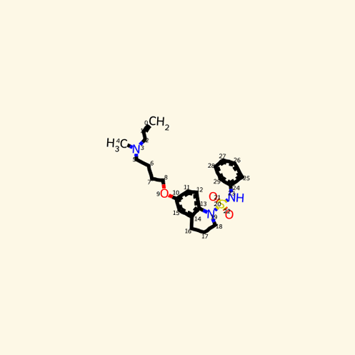 C=CCN(C)CCCCOc1ccc2c(c1)CCCN2S(=O)(=O)Nc1ccccc1